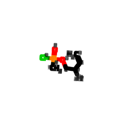 C=CC(CC)COP(C)(=O)Cl